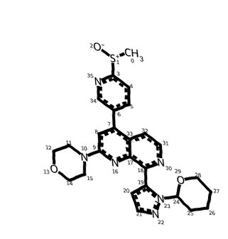 C[S+]([O-])c1ccc(-c2cc(N3CCOCC3)nc3c(-c4ccnn4C4CCCCO4)nccc23)cn1